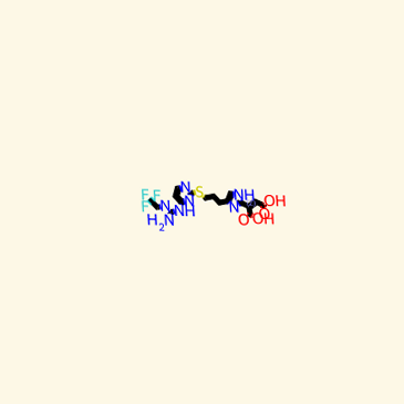 NC(=NCC(F)(F)F)Nc1ccnc(SCCCc2c[nH]c(/C(=C/C(=O)O)C(=O)O)n2)n1